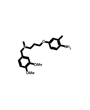 COc1ccc(CN(C)CCCOc2ccc(N)c(C)c2)cc1OC